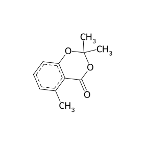 Cc1cccc2c1C(=O)OC(C)(C)O2